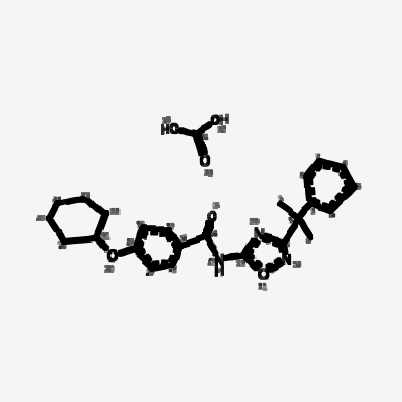 CC(C)(c1ccccc1)c1noc(NC(=O)c2ccc(OC3CCCCC3)cc2)n1.O=C(O)O